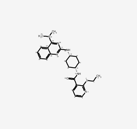 CCSc1ncccc1C(=O)N[C@H]1CC[C@@H](Nc2nc(N(C)C)c3ccccc3n2)CC1